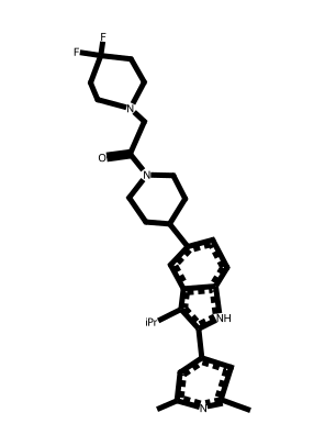 Cc1cc(-c2[nH]c3ccc(C4CCN(C(=O)CN5CCC(F)(F)CC5)CC4)cc3c2C(C)C)cc(C)n1